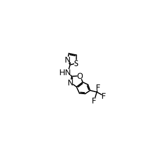 FC(F)(F)c1ccc2nc(Nc3nccs3)oc2c1